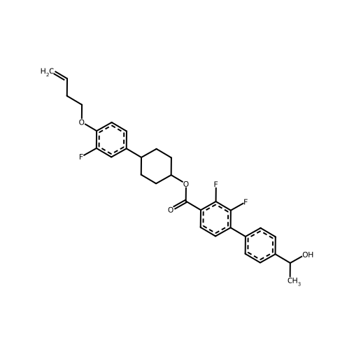 C=CCCOc1ccc(C2CCC(OC(=O)c3ccc(-c4ccc(C(C)O)cc4)c(F)c3F)CC2)cc1F